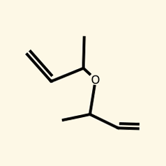 C=CC(C)OC(C)C=C